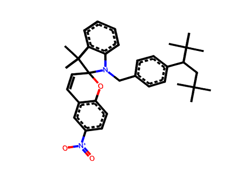 CC(C)(C)CC(c1ccc(CN2c3ccccc3C(C)(C)C23C=Cc2cc([N+](=O)[O-])ccc2O3)cc1)C(C)(C)C